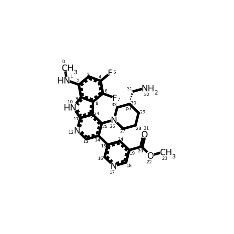 CNc1cc(F)c(F)c2c1[nH]c1ncc(-c3cncc(C(=O)OC)c3)c(N3CCC[C@@H](CN)C3)c12